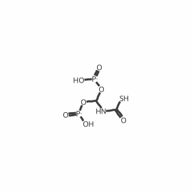 O=C(S)NC(O[P](=O)O)O[P](=O)O